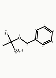 CCC(C)(OCc1ccccc1)C(=O)O